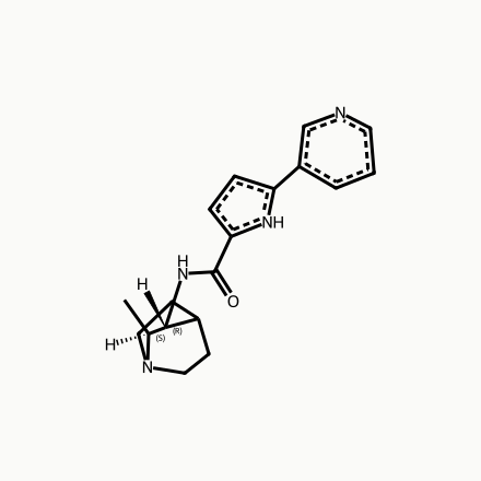 C[C@H]1[C@H](NC(=O)c2ccc(-c3cccnc3)[nH]2)C2CCN1CC2